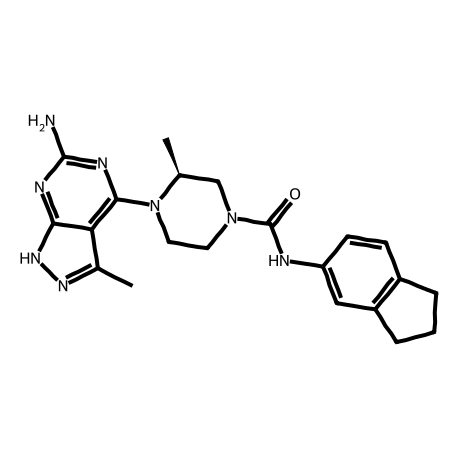 Cc1n[nH]c2nc(N)nc(N3CCN(C(=O)Nc4ccc5c(c4)CCC5)C[C@@H]3C)c12